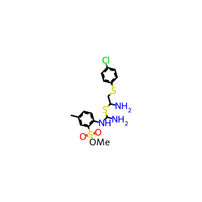 COS(=O)(=O)c1cc(C)ccc1NC(N)SC(N)CSc1ccc(Cl)cc1